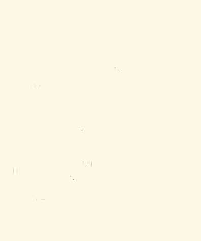 Cc1ccc(NC(=O)c2cccc(C(F)(F)F)c2)cc1-c1ccc2c([C@H](C)O)n[nH]c2n1